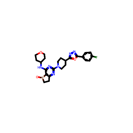 [O-][S+]1CCc2nc(N3CCC(c4nnc(-c5ccc(F)cc5)o4)CC3)nc(NC3CCOCC3)c21